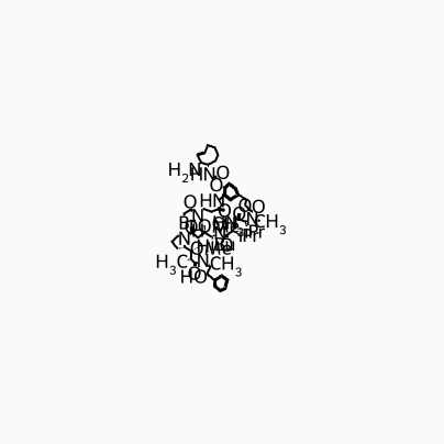 CC[C@H](C)[C@@H]([C@@H](CC(=O)N1CCC[C@H]1[C@H](OC)[C@@H](C)C(=O)N[C@H](C)[C@@H](O)c1ccccc1)OC)N(C)C(=O)[C@@H](NC(=O)[C@H](C(C)C)N(C)C(=O)OCc1ccc(OC(=O)N[C@H]2CCCC/C=C/[C@@H]2N)c(NC(=O)CCNC(=O)CBr)c1)C(C)C